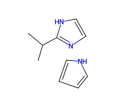 CC(C)c1ncc[nH]1.c1cc[nH]c1